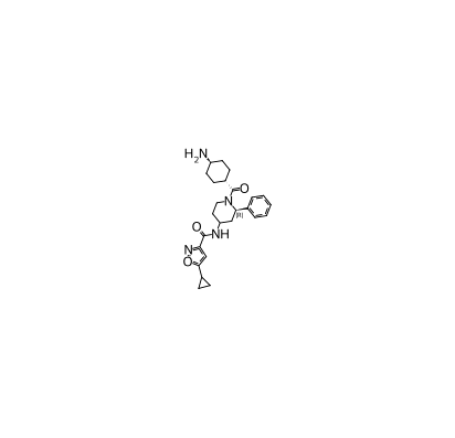 N[C@H]1CC[C@H](C(=O)N2CCC(NC(=O)c3cc(C4CC4)on3)C[C@@H]2c2ccccc2)CC1